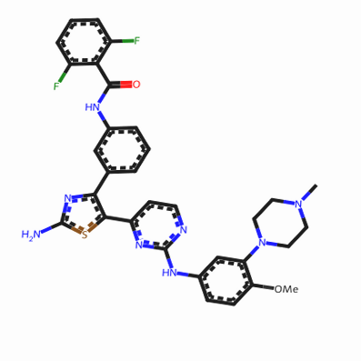 COc1ccc(Nc2nccc(-c3sc(N)nc3-c3cccc(NC(=O)c4c(F)cccc4F)c3)n2)cc1N1CCN(C)CC1